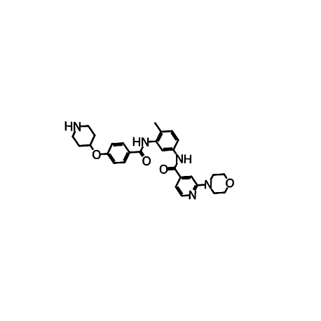 Cc1ccc(NC(=O)c2ccnc(N3CCOCC3)c2)cc1NC(=O)c1ccc(OC2CCNCC2)cc1